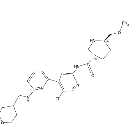 COC[C@H]1CC[C@H](C(=O)Nc2cc(-c3cccc(NCC4CCOCC4)n3)c(Cl)cn2)CN1